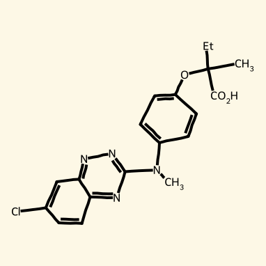 CCC(C)(Oc1ccc(N(C)c2nnc3cc(Cl)ccc3n2)cc1)C(=O)O